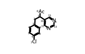 CC(=O)C(Cc1ccc(Cl)cc1)c1cncnc1